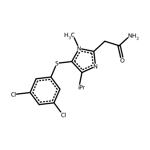 CC(C)c1nc(CC(N)=O)n(C)c1Sc1cc(Cl)cc(Cl)c1